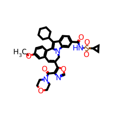 COc1ccc2c(c1)C=C(c1ocnc1C(=O)N1CCOCC1)Cn1c-2c(C2CCCCC2)c2ccc(C(=O)NS(=O)(=O)C3CC3)cc21